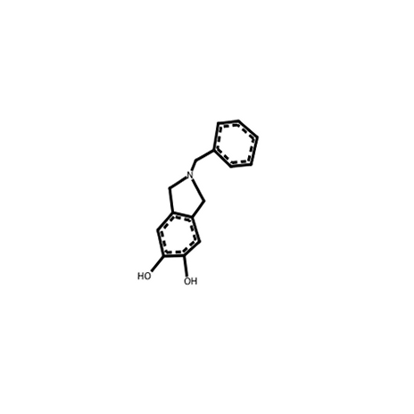 Oc1cc2c(cc1O)CN(Cc1ccccc1)C2